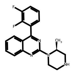 C[C@H]1CNCCN1c1nc(-c2cccc(F)c2F)c2ccccc2n1